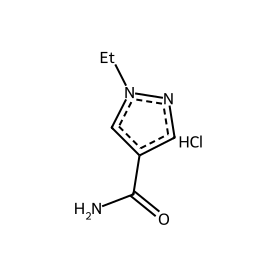 CCn1cc(C(N)=O)cn1.Cl